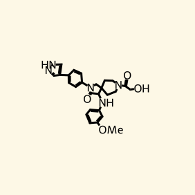 COc1cccc(NC2C(=O)N(c3ccc(-c4cn[nH]c4)cc3)CC23CCN(C(=O)CO)CC3)c1